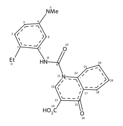 CCc1ccc(NC)cc1NC(=O)n1cc(C(=O)O)c(=O)c2ccccc21